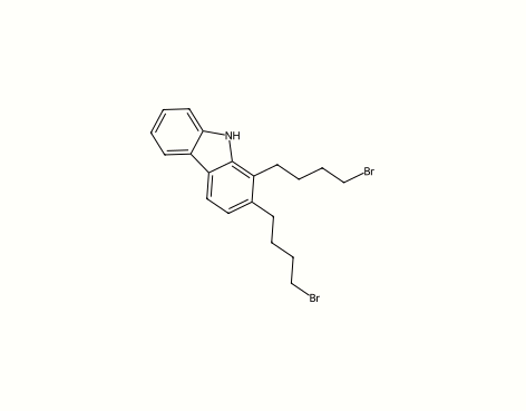 BrCCCCc1ccc2c([nH]c3ccccc32)c1CCCCBr